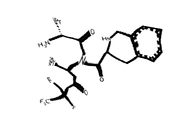 CC(C)C(C(=O)C(F)(F)C(F)(F)F)N(C(=O)C1Cc2ccccc2CN1)C(=O)[C@H](N)C(C)C